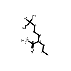 CCCC(CCCC(F)(F)F)C(N)=O